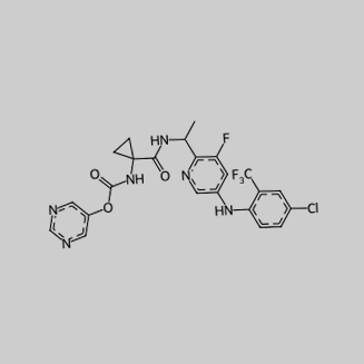 CC(NC(=O)C1(NC(=O)Oc2cncnc2)CC1)c1ncc(Nc2ccc(Cl)cc2C(F)(F)F)cc1F